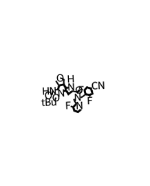 CC(C)(C)OC(=O)Nc1nc2cc(C(=O)N(Cc3ncccc3F)Cc3c(F)cc(C#N)cc3F)[nH]c2c2c1COC2